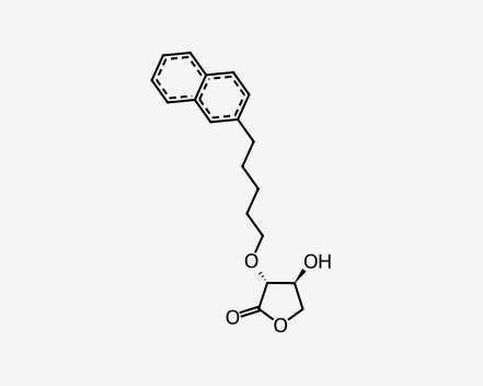 O=C1OC[C@H](O)[C@H]1OCCCCCc1ccc2ccccc2c1